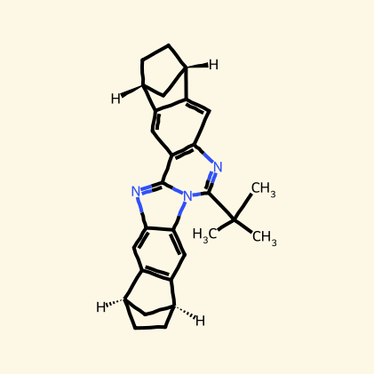 CC(C)(C)c1nc2cc3c(cc2c2nc4cc5c(cc4n12)[C@H]1CC[C@@H]5C1)[C@@H]1CC[C@H]3C1